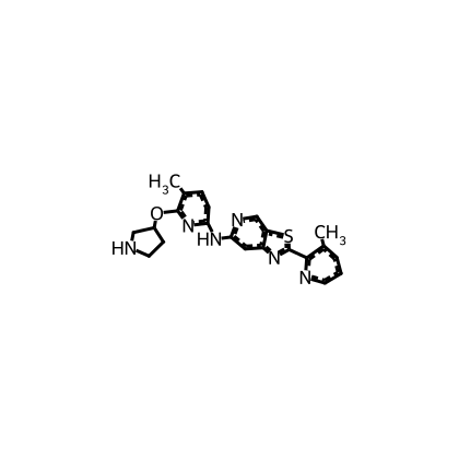 Cc1ccc(Nc2cc3nc(-c4ncccc4C)sc3cn2)nc1OC1CCNC1